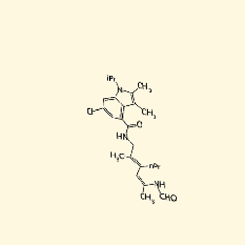 CCCC(/C=C(/C)NC=O)=C(/C)CNC(=O)c1cc(Cl)cc2c1c(C)c(C)n2C(C)C